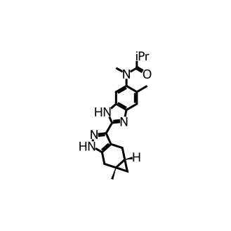 Cc1cc2nc(-c3n[nH]c4c3C[C@@H]3C[C@]3(C)C4)[nH]c2cc1N(C)C(=O)C(C)C